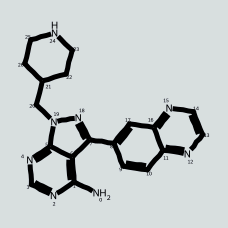 Nc1ncnc2c1c(-c1ccc3nccnc3c1)nn2CC1CCNCC1